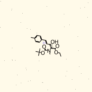 CCOC(=O)[C@H]([C@@H](O)/C=C/c1ccc(C)cc1)N(C)C(=O)OC(C)(C)C